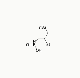 CCCCCC(CC)C[PH](=O)O